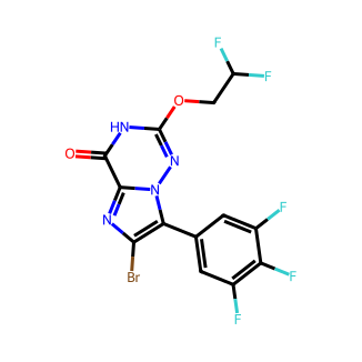 O=c1[nH]c(OCC(F)F)nn2c(-c3cc(F)c(F)c(F)c3)c(Br)nc12